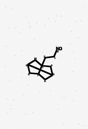 O=NCCC12CC3CC1CC3C2